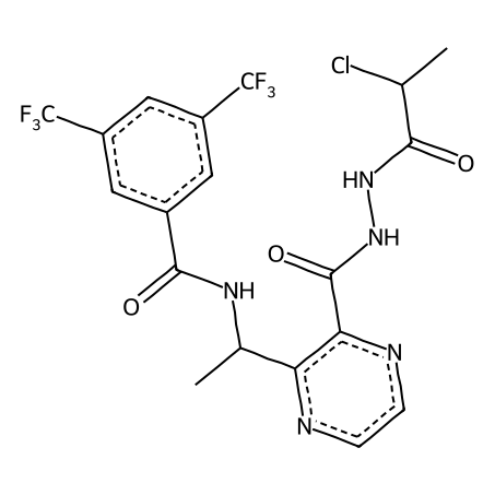 CC(Cl)C(=O)NNC(=O)c1nccnc1C(C)NC(=O)c1cc(C(F)(F)F)cc(C(F)(F)F)c1